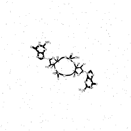 CC(=O)C1[C@H]2OP(=O)(O)OC[C@H]3O[C@@H](n4cnc5c(=O)[nH]c(N)nc54)C(O)[C@H]3OP(=O)(O)OC[C@H]2O[C@H]1n1cnc2c(=O)[nH]c(N)nc21